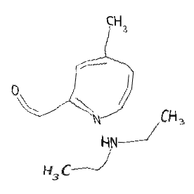 CCNCC.Cc1ccnc(C=O)c1